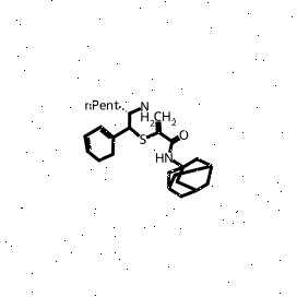 C=C(SC(C1=CC=CCC1)[C@@H](N)CCCCC)C(=O)NC12CC3CC(CC(C3)C1)C2